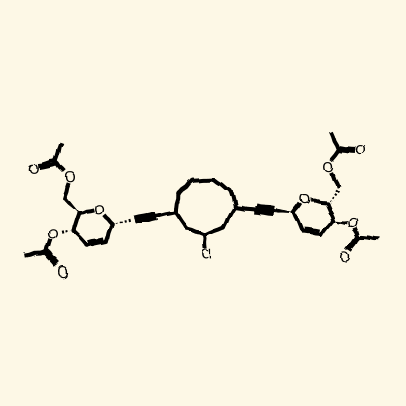 CC(=O)OC[C@H]1O[C@H](C#CC2CCCCC(C#C[C@@H]3C=C[C@H](OC(C)=O)[C@@H](COC(C)=O)O3)CC(Cl)C2)C=C[C@@H]1OC(C)=O